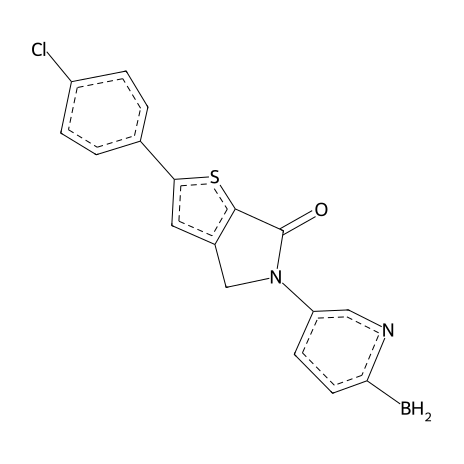 Bc1ccc(N2Cc3cc(-c4ccc(Cl)cc4)sc3C2=O)cn1